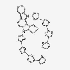 c1csc(-c2ccc(-c3ccc(-c4ccc(-n5c6ccccc6c6c5ccc5c7ccccc7n(-c7ccc(-c8ccc(-c9ccc(-c%10cccs%10)s9)s8)s7)c56)s4)s3)s2)c1